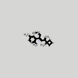 C=C(/C=C(\C=N/CC)c1cc(C)cnc1C)C1(C)CCC1